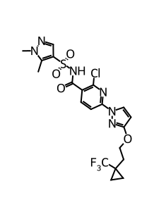 Cc1c(S(=O)(=O)NC(=O)c2ccc(-n3ccc(OCCC4(C(F)(F)F)CC4)n3)nc2Cl)cnn1C